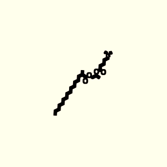 CCCCCCCCCCCCCCC(C)C(=O)OCC(C)OC(=O)CCCCN(C)C